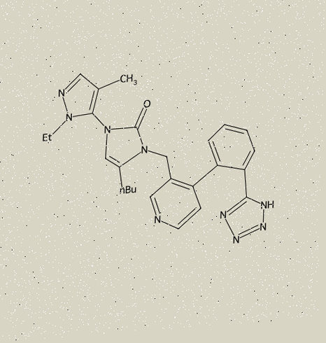 CCCCc1cn(-c2c(C)cnn2CC)c(=O)n1Cc1cnccc1-c1ccccc1-c1nnn[nH]1